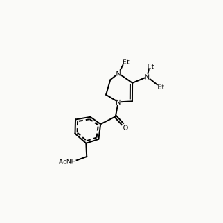 CCN(CC)C1=CN(C(=O)c2cccc(CNC(C)=O)c2)CCN1CC